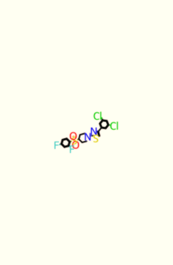 O=S(=O)(c1ccc(F)cc1F)C1CCN(c2nc(-c3cc(Cl)cc(Cl)c3)cs2)CC1